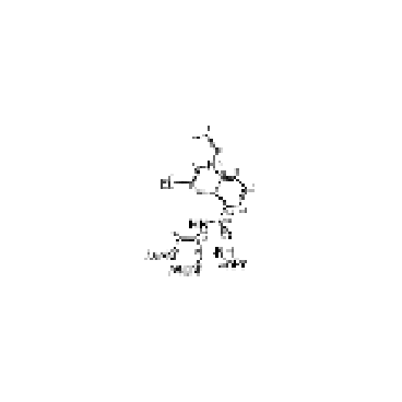 C/C=C\N(/C=C(\C)CC)c1cccc(C(=O)N/C(=C/NC)C(NC)NCCC)c1